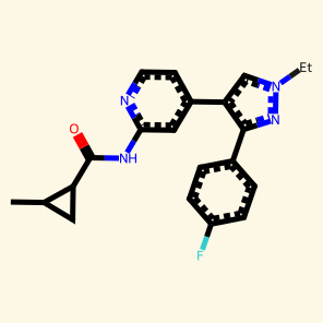 CCn1cc(-c2ccnc(NC(=O)C3CC3C)c2)c(-c2ccc(F)cc2)n1